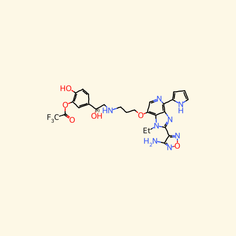 CCn1c(-c2nonc2N)nc2c(-c3ccc[nH]3)ncc(OCCCNC[C@H](O)c3ccc(O)c(OC(=O)C(F)(F)F)c3)c21